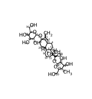 C=C1C[C@@]23CC[C@H]4[C@@](C)(CCC[C@@]4(C)C(=O)O[C@@H]4OC(CO)[C@@H](C)C(O)[C@@H]4O)[C@@H]2CC[C@]1(O[C@@H]1O[C@H](CO)C(O)C(O)[C@H]1O)C3